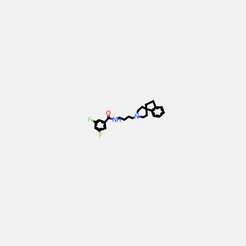 O=C(NCCCCN1CCC2(CCc3ccccc32)CC1)c1cc(F)cc(F)c1